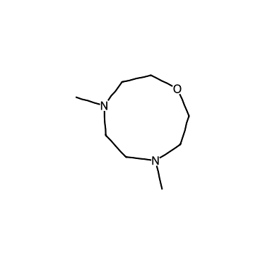 CN1CCOCCN(C)CC1